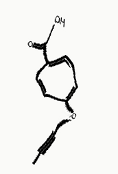 CC#COc1ccc(C(=O)O)cc1